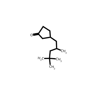 CC(CC1CCC(=O)C1)CC(C)(C)C